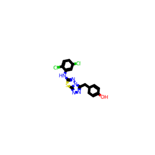 OC1=CCC(Cc2nnc3sc(NC4=CC(Cl)CC=C4Cl)nn23)C=C1